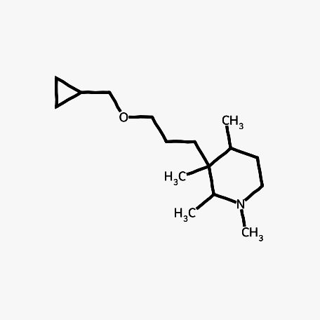 CC1CCN(C)C(C)C1(C)CCCOCC1CC1